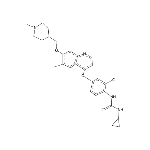 Cc1cc2c(Oc3ccc(NC(=O)NC4CC4)c(Cl)c3)ccnc2cc1OCC1CCN(C)CC1